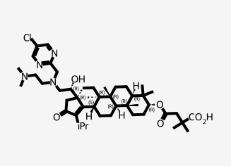 CC(C)C1=C2[C@H]3CC[C@@H]4[C@@]5(C)CC[C@@H](OC(=O)CC(C)(C)C(=O)O)C(C)(C)[C@@H]5CC[C@@]4(C)[C@]3(C)CC[C@@]2([C@@H](O)CN(CCN(C)C)Cc2ncc(Cl)cn2)CC1=O